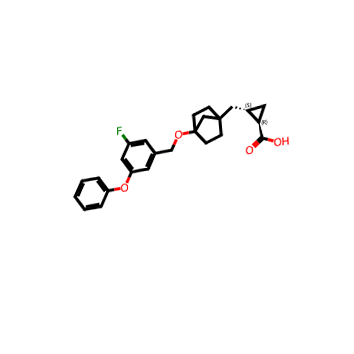 O=C(O)[C@@H]1C[C@H]1CC12CCC(OCc3cc(F)cc(Oc4ccccc4)c3)(CC1)C2